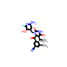 Cc1cc(C#N)cc(C(=O)c2c(C(C)C)c(=O)[nH]c(=O)n2Cc2cc(N)nc(F)c2O)c1